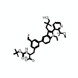 CCn1c(-c2cccnc2[C@H](C)OC)c(CC(C)(C)CO)c2cc(-c3cc(CF)cc(CC(NC(=O)OC(C)(C)C)C(=O)O)c3)ccc21